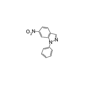 O=[N+]([O-])c1ccc2cnn(-c3ccccc3)c2c1